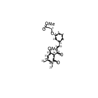 COC(=O)COc1cccc(/C=C/C(=O)c2c(OC)cc(C)n(C)c2=O)c1